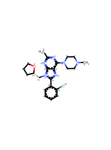 Cc1nc(N2CCN(C)CC2)c2nc(-c3ccccc3Cl)n(C[C@@H]3CCCO3)c2n1